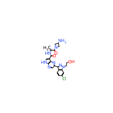 C[C@@H](NC(=O)c1c[nH]c2ncc(-c3nn(CCO)c4cc(Cl)ccc34)nc12)C(=O)N1CC(N)C1